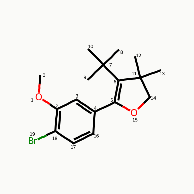 COc1cc(C2=C(C(C)(C)C)C(C)(C)CO2)ccc1Br